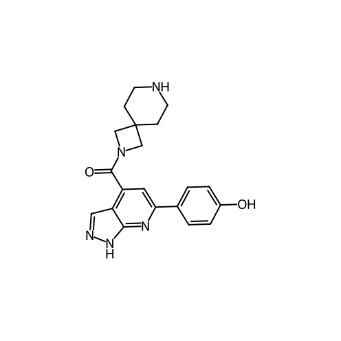 O=C(c1cc(-c2ccc(O)cc2)nc2[nH]ncc12)N1CC2(CCNCC2)C1